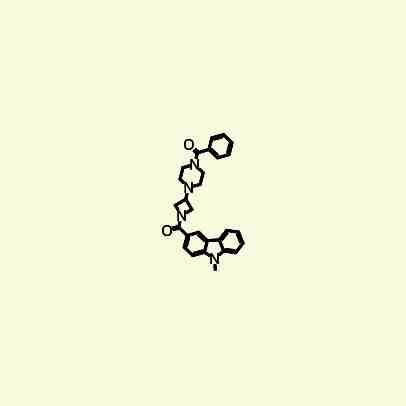 Cn1c2ccccc2c2cc(C(=O)N3CC(N4CCN(C(=O)c5ccccc5)CC4)C3)ccc21